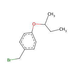 CCC(C)Oc1ccc(CBr)cc1